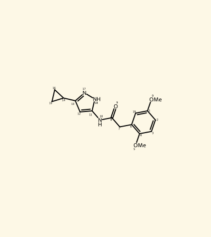 COc1ccc(OC)c(CC(=O)Nc2cc(C3CC3)n[nH]2)c1